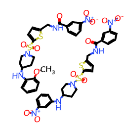 COc1ccccc1NC1CCN(S(=O)(=O)c2ccc(CNC(=O)c3cccc([N+](=O)[O-])c3)s2)CC1.O=C(NCc1ccc(S(=O)(=O)N2CCC(Nc3cccc([N+](=O)[O-])c3)CC2)s1)c1cccc([N+](=O)[O-])c1